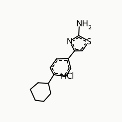 Cl.Nc1nc(-c2ccc(C3CCCCC3)cc2)cs1